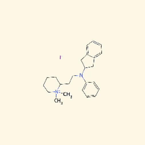 C[N+]1(C)CCCCC1CCN(c1ccccc1)C1Cc2ccccc2C1.[I-]